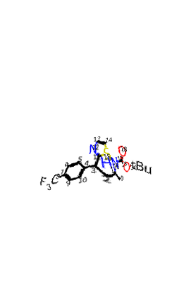 CC(CC(c1ccc(C(F)(F)F)cc1)c1nccs1)NC(=O)OC(C)(C)C